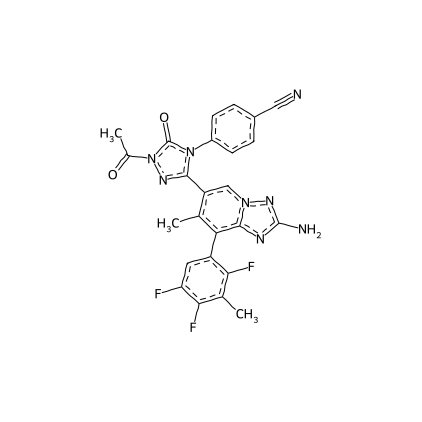 CC(=O)n1nc(-c2cn3nc(N)nc3c(-c3cc(F)c(F)c(C)c3F)c2C)n(-c2ccc(C#N)cc2)c1=O